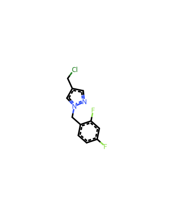 Fc1ccc(Cn2cc(CCl)cn2)c(F)c1